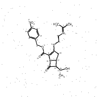 CC(C)=NCCSC1=C(C(=O)OCc2ccc([N+](=O)[O-])cc2)N2C(=O)C([C@@H](C)O)C2C1